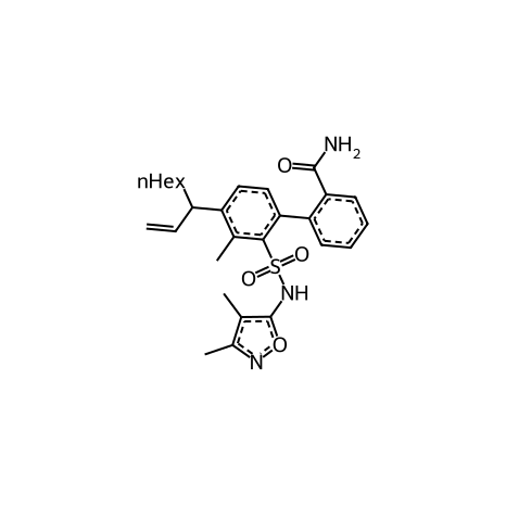 C=CC(CCCCCC)c1ccc(-c2ccccc2C(N)=O)c(S(=O)(=O)Nc2onc(C)c2C)c1C